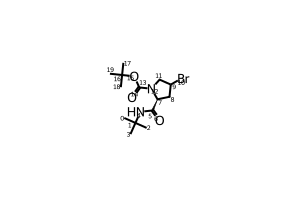 CC(C)(C)NC(=O)[C@@H]1CC(Br)CN1C(=O)OC(C)(C)C